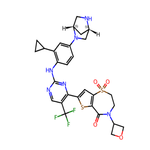 O=C1c2sc(-c3nc(Nc4ccc(N5C[C@@H]6C[C@H]5CN6)cc4C4CC4)ncc3C(F)(F)F)cc2S(=O)(=O)CCN1C1COC1